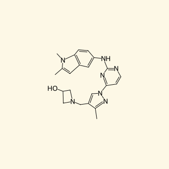 Cc1nn(-c2ccnc(Nc3ccc4c(c3)cc(C)n4C)n2)cc1CN1CC(O)C1